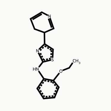 CCOc1ccccc1Nc1nc(C2C=NC=CC2)cs1